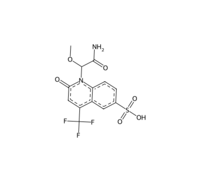 COC(C(N)=O)n1c(=O)cc(C(F)(F)F)c2cc(S(=O)(=O)O)ccc21